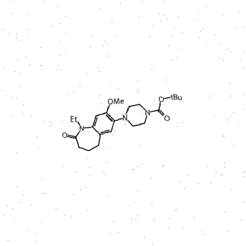 CCN1C(=O)CCCc2cc(N3CCN(C(=O)OC(C)(C)C)CC3)c(OC)cc21